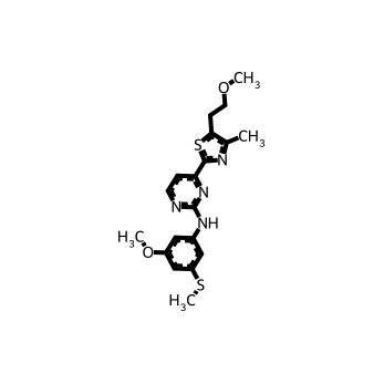 COCCc1sc(-c2ccnc(Nc3cc(OC)cc(SC)c3)n2)nc1C